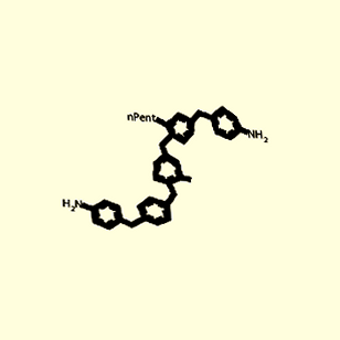 CCCCCc1cc(Cc2ccc(N)cc2)ccc1Cc1ccc(Cc2ccc(Cc3ccc(N)cc3)cc2)c(C)c1